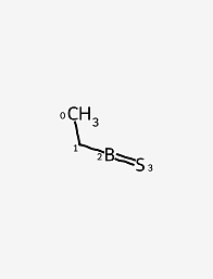 CCB=S